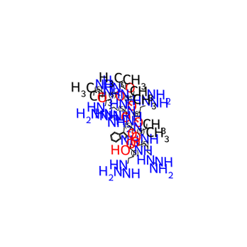 CC(C)[C@H](N)C(=O)N[C@@H](CCCNC(=N)N)C(=O)N[C@H](C(=O)N[C@H](C(=O)N[C@@H](CCCNC(=N)N)C(=O)N[C@@H](CCCNC(=N)N)C(=O)N[C@@H](Cc1c[nH]c2ccccc12)C(=O)N[C@H](C(=O)N[C@@H](CCCNC(=N)N)C(=O)N[C@@H](CCCNC(=N)N)C(=O)O)C(C)C)C(C)C)C(C)C